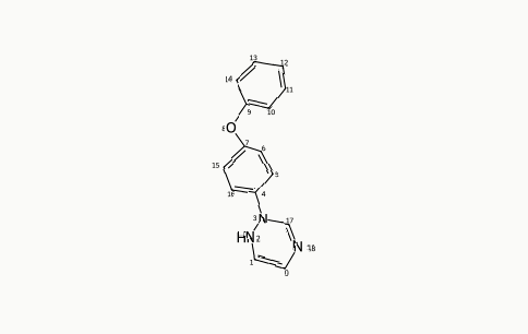 C1=CNN(c2ccc(Oc3ccccc3)cc2)C=N1